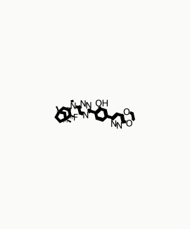 CN(c1cnc(-c2ccc(-c3cc4c(nn3)OCCO4)cc2O)nn1)[C@@H]1C[C@@]2(C)CC[C@](C)(C2)[C@@H]1F